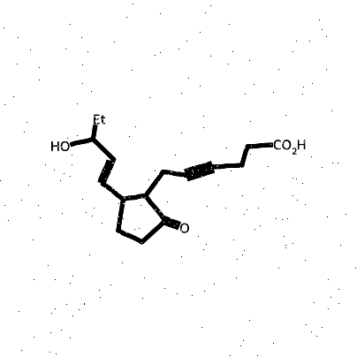 CCC(O)/C=C/C1CCC(=O)C1CC#CCCC(=O)O